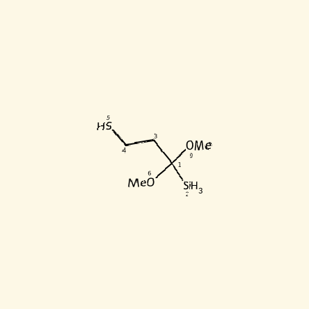 COC([SiH3])(CCS)OC